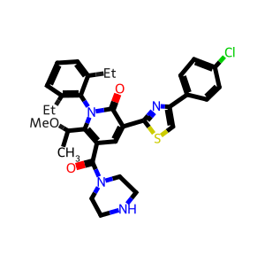 CCc1cccc(CC)c1-n1c(C(C)OC)c(C(=O)N2CCNCC2)cc(-c2nc(-c3ccc(Cl)cc3)cs2)c1=O